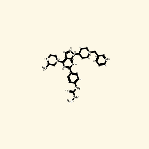 CNC(=O)Nc1ccc(-c2nc(N3CCOC(O)C3)c3cnn(C4CCN(Cc5cccnc5)CC4)c3n2)cc1